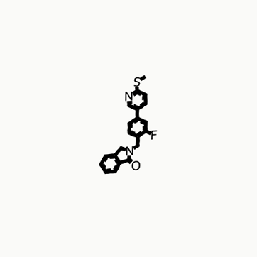 CSc1ccc(-c2ccc(CN3Cc4ccccc4C3=O)c(F)c2)cn1